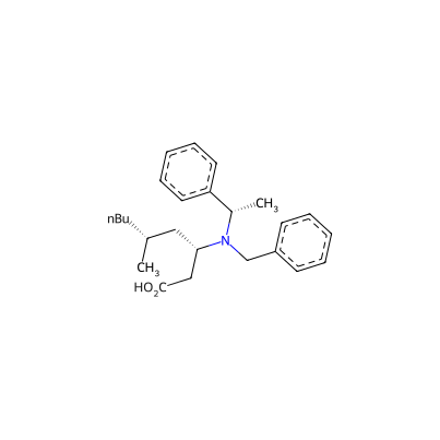 CCCC[C@@H](C)C[C@@H](CC(=O)O)N(Cc1ccccc1)[C@@H](C)c1ccccc1